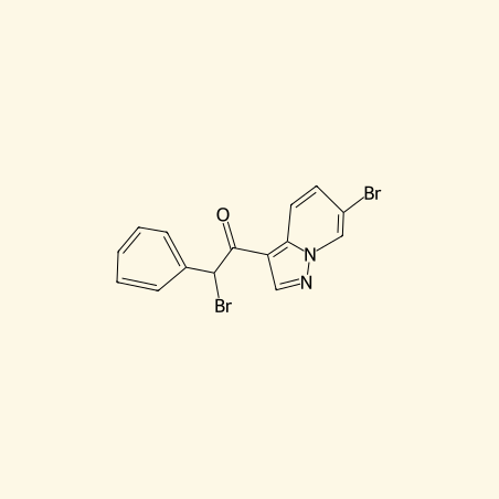 O=C(c1cnn2cc(Br)ccc12)C(Br)c1ccccc1